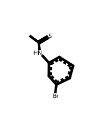 CC(=S)Nc1cccc(Br)c1